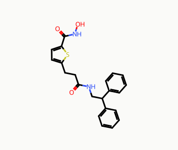 O=C(CCc1ccc(C(=O)NO)s1)NCC(c1ccccc1)c1ccccc1